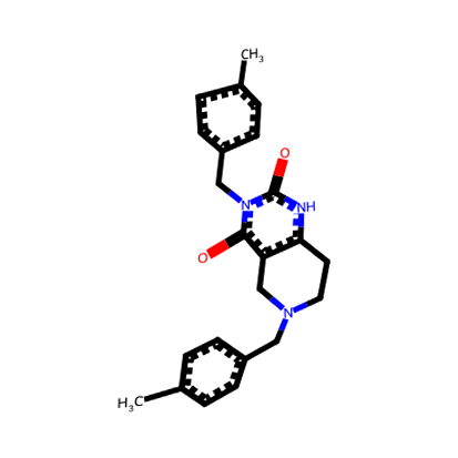 Cc1ccc(CN2CCc3[nH]c(=O)n(Cc4ccc(C)cc4)c(=O)c3C2)cc1